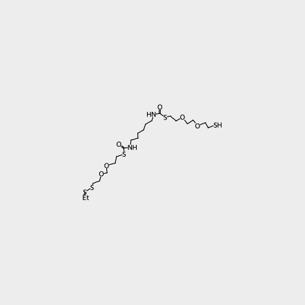 CCSSCCOCOCCSC(=O)NCCCCCCNC(=O)SCCOCCOCCS